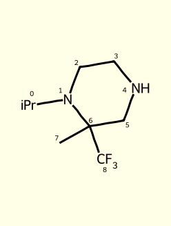 CC(C)N1CCNCC1(C)C(F)(F)F